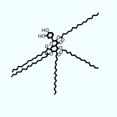 CCCCCCCCCCCCCCCC(=O)Oc1c(C(=O)CCCCCCCCCCCCCCC)c(OC(=O)CCCCCCCCCCCCCCC)c2c(=O)c(OC(=O)CCCCCCCCCCCCCCC)c(-c3ccc(O)c(O)c3)oc2c1C(=O)CCCCCCCCCCCCCCC